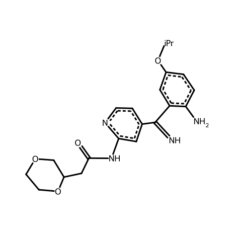 CC(C)Oc1ccc(N)c(C(=N)c2ccnc(NC(=O)CC3COCCO3)c2)c1